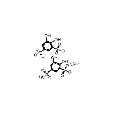 O=S(=O)(O)c1cc(O)c(O)c(S(=O)(=O)O)c1.O=S(=O)([O-])c1cc(O)c(O)c(S(=O)(=O)[O-])c1.[Na+].[Na+]